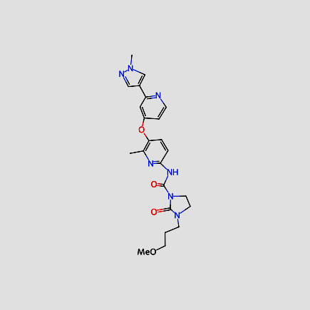 COCCCN1CCN(C(=O)Nc2ccc(Oc3ccnc(-c4cnn(C)c4)c3)c(C)n2)C1=O